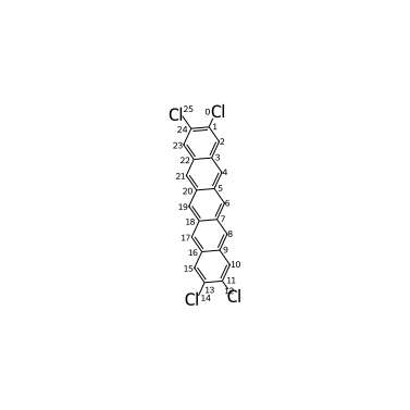 Clc1cc2cc3cc4cc5cc(Cl)c(Cl)cc5cc4cc3cc2cc1Cl